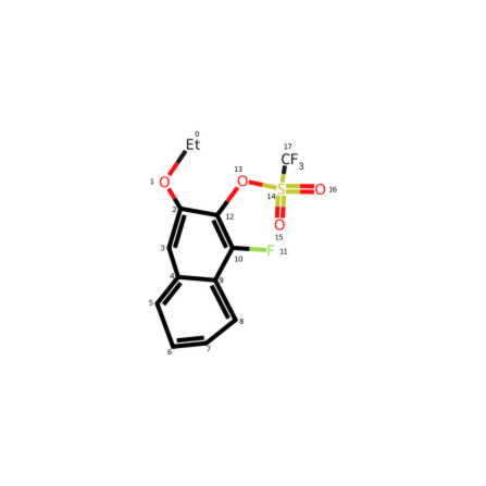 CCOc1cc2ccccc2c(F)c1OS(=O)(=O)C(F)(F)F